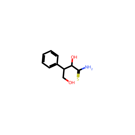 NC(=S)C(O)C(CO)c1ccccc1